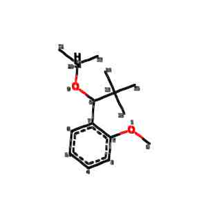 COc1cc[c]cc1C(O[SiH](C)C)C(C)(C)C